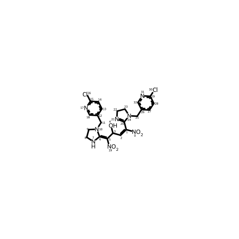 O=[N+]([O-])C(=CC(O)C(=C1NCCN1Cc1ccc(Cl)nc1)[N+](=O)[O-])C1=NCCN1Cc1ccc(Cl)nc1